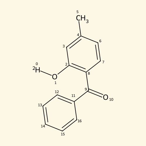 [2H]Oc1cc(C)ccc1C(=O)c1ccccc1